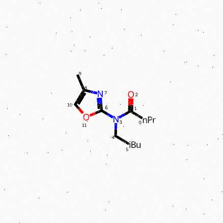 CCCC(=O)N(CC(C)CC)c1nc(C)co1